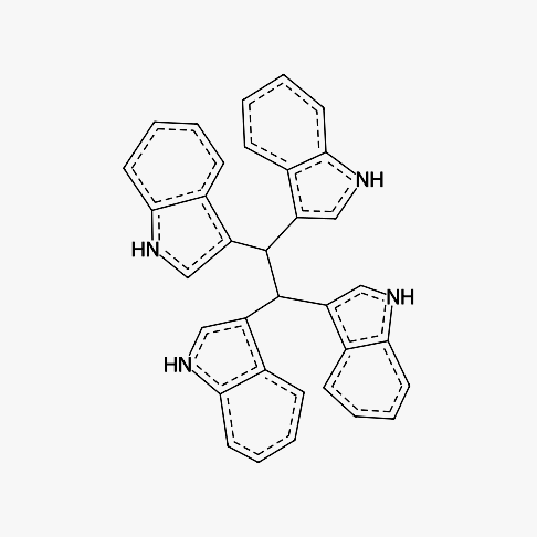 c1ccc2c(C(c3c[nH]c4ccccc34)C(c3c[nH]c4ccccc34)c3c[nH]c4ccccc34)c[nH]c2c1